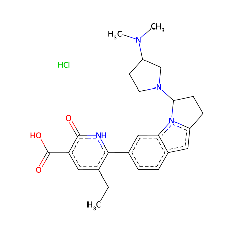 CCc1cc(C(=O)O)c(=O)[nH]c1-c1ccc2cc3n(c2c1)C(N1CCC(N(C)C)C1)CC3.Cl